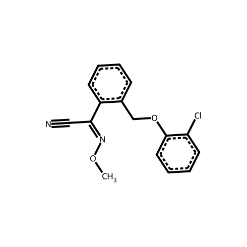 CON=C(C#N)c1ccccc1COc1ccccc1Cl